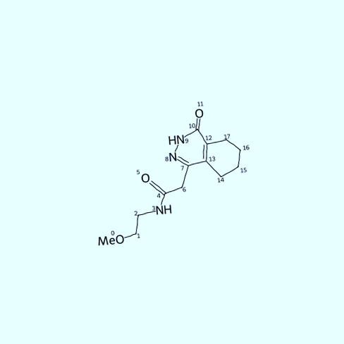 COCCNC(=O)Cc1n[nH]c(=O)c2c1CCCC2